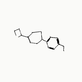 CCc1ccc(C2CCC(C3CCO3)CC2)cc1